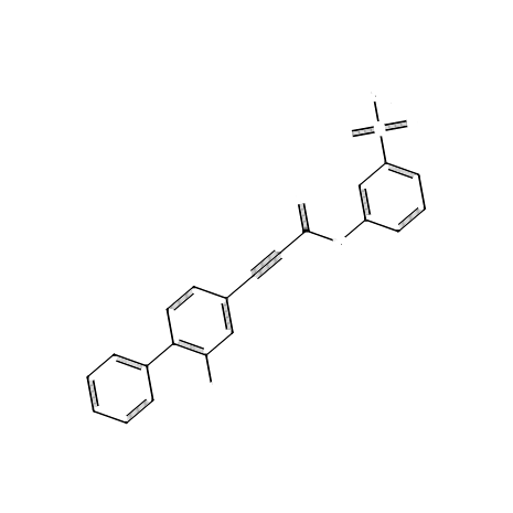 NS(=O)(=O)c1cccc(NC(=O)C#Cc2ccc(-c3ccccc3)c(C(F)(F)F)c2)c1